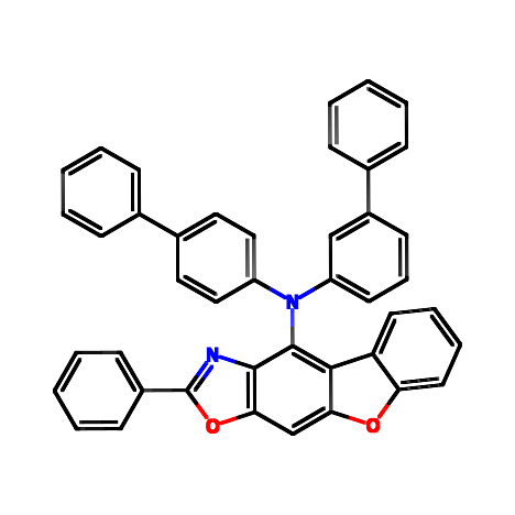 c1ccc(-c2ccc(N(c3cccc(-c4ccccc4)c3)c3c4nc(-c5ccccc5)oc4cc4oc5ccccc5c34)cc2)cc1